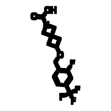 O=C(O)N1CC2(CC(OCc3ccc(C(F)(F)F)cc3F)C2)C1